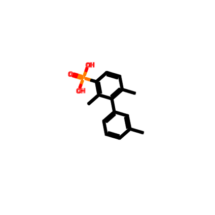 Cc1cccc(-c2c(C)ccc(P(=O)(O)O)c2C)c1